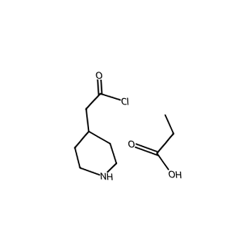 CCC(=O)O.O=C(Cl)CC1CCNCC1